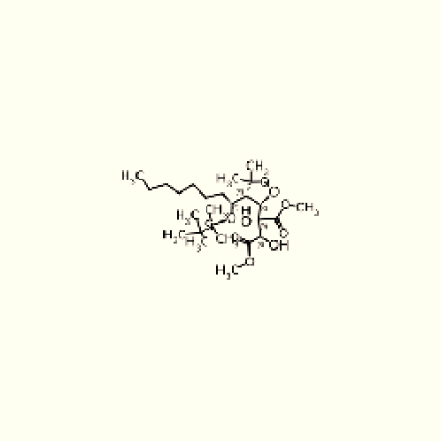 CCCCCCC[C@H](O[Si](C)(C)C(C)(C)C)[C@H]1[C@H]([C@@](O)(C(=O)OC)[C@@H](O)C(=O)OC)OOC1(C)C